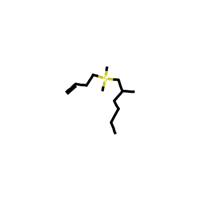 C=CCCS(C)(C)CC(C)CCCC